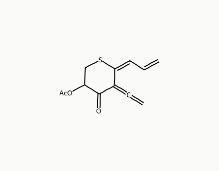 C=C=C1C(=O)C(OC(C)=O)CS/C1=C/C=C